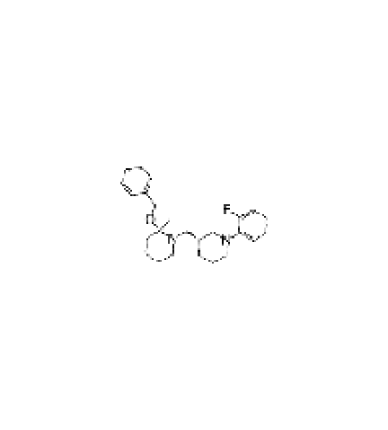 CC1(OCc2ccccc2)CCCCN1C[C@@H]1CCCN(c2ccccc2F)C1